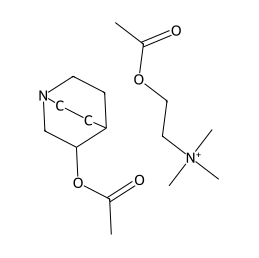 CC(=O)OC1CN2CCC1CC2.CC(=O)OCC[N+](C)(C)C